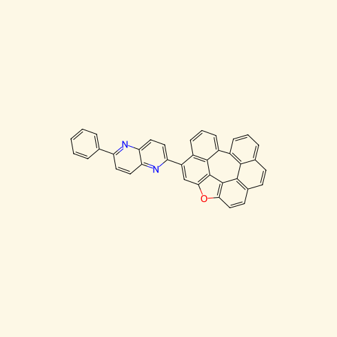 c1ccc(-c2ccc3nc(-c4cc5oc6ccc7ccc8cccc9c8c7c6c5c5c-9cccc45)ccc3n2)cc1